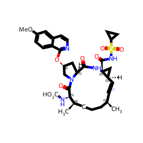 COc1ccc2c(O[C@@H]3C[C@H]4C(=O)N[C@]5(C(=O)NS(=O)(=O)C6CC6)C[C@H]5/C=C\[C@@H](C)CCC[C@@H](C)[C@H](NC(=O)O)C(=O)N4C3)nccc2c1